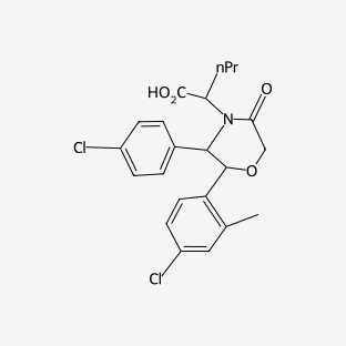 CCCC(C(=O)O)N1C(=O)COC(c2ccc(Cl)cc2C)C1c1ccc(Cl)cc1